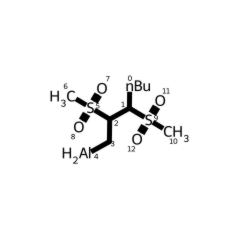 CCCCC(C([CH2][AlH2])S(C)(=O)=O)S(C)(=O)=O